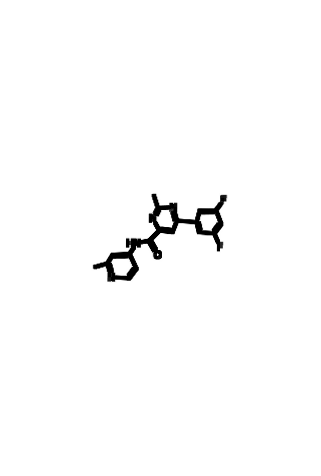 Cc1cc(NC(=O)c2cc(-c3cc(F)cc(F)c3)nc(C)n2)ccn1